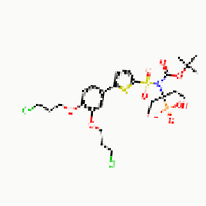 CCC(CC)(N(C(=O)OC(C)(C)C)S(=O)(=O)c1ccc(-c2ccc(OCCCCl)c(OCCCCl)c2)s1)P(=O)(O)O